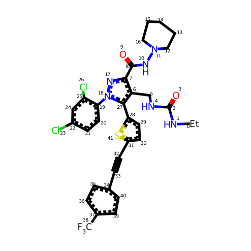 CCNC(=O)NCc1c(C(=O)NN2CCCCC2)nn(-c2ccc(Cl)cc2Cl)c1-c1ccc(C#Cc2ccc(C(F)(F)F)cc2)s1